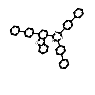 c1ccc(-c2ccc(-c3nc(-c4ccc(-c5ccccc5)cc4)nc(-c4ccc(-c5ccc(-c6ccccc6)cc5)c5oc6ccccc6c45)n3)cc2)cc1